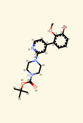 COc1c(Br)cccc1-c1ccnc(N2CCN(C(=O)OC(C)(C)C)CC2)c1